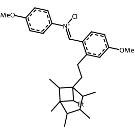 CCC1C2(C)C(C)C(C)C(C)C1(CCc1cc(OC)ccc1/C=[N+](\Cl)c1ccc(OC)cc1)C2C